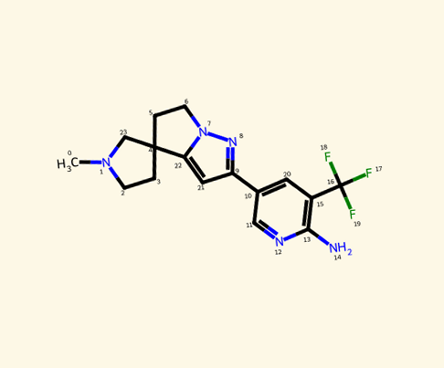 CN1CCC2(CCn3nc(-c4cnc(N)c(C(F)(F)F)c4)cc32)C1